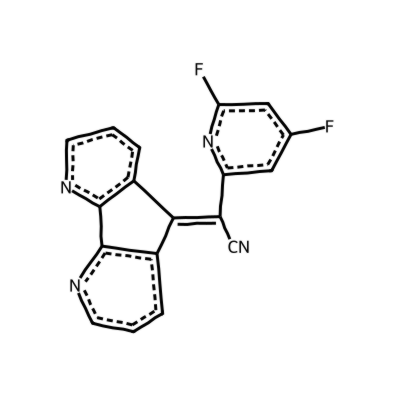 N#CC(=C1c2cccnc2-c2ncccc21)c1cc(F)cc(F)n1